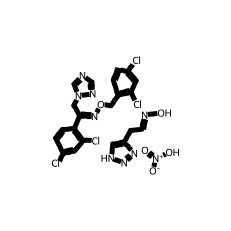 Clc1ccc(CON=C(Cn2cncn2)c2ccc(Cl)cc2Cl)c(Cl)c1.O=[N+]([O-])O.ON=CCc1c[nH]nn1